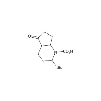 CC(C)(C)C1CCC2C(=O)CCC2N1C(=O)O